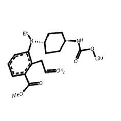 C=CCc1c(C(=O)OC)cccc1N(CC)[C@H]1CC[C@H](NC(=O)OC(C)(C)C)CC1